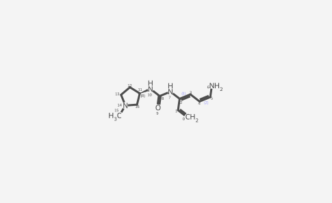 C=C/C(=C\C=C/N)NC(=O)N[C@@H]1CCN(C)C1